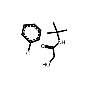 CC(C)(C)NC(=O)CO.Clc1ccccc1